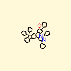 c1ccc(-c2cc(-c3cc4c(cc3-c3ccc5c(c3)oc3ccccc35)C(c3ccccc3)(c3ccccc3)c3ccccc3-4)nc(-c3ccccc3)n2)cc1